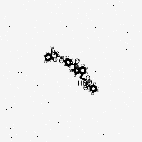 Cc1cc2c(CC(=O)NS(=O)(=O)c3ccccc3)cccc2n1C(=O)c1ccc(OC[C@@H]2CN(C)c3ccccc3O2)cc1